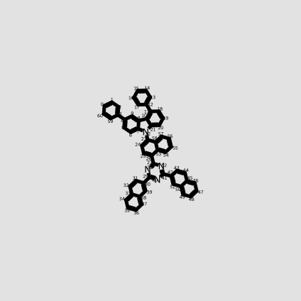 c1ccc(-c2ccc3c(c2)c2c(-c4ccccc4)cccc2n3-c2ccc(-c3nc(-c4ccc5ccccc5c4)nc(-c4ccc5ccccc5c4)n3)c3ccccc23)cc1